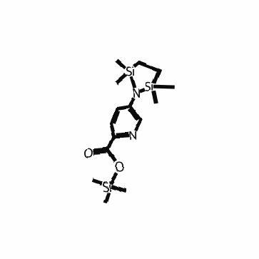 C[Si](C)(C)OC(=O)c1ccc(N2[Si](C)(C)CC[Si]2(C)C)cn1